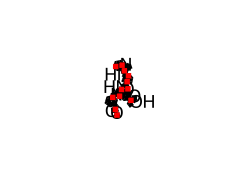 CCOC(=O)Cc1cccc(CN(CCNC(=O)c2cccc(Nc3cc(C)nc4ccccc34)c2)Cc2cccc(C(CC)C(=O)O)c2)c1